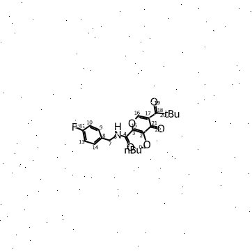 CCCCOc1c(C(=O)NCc2ccc(F)cc2)occ(C(=O)C(C)(C)C)c1=O